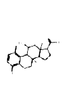 Cc1ccc(O)c2c1C1C(O)CC3(C)C(C(=O)O)CCC3[C@@H]1CC2